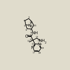 CN1C2CCC1CC(NC(=O)C(C)(CN)c1ncccn1)C2